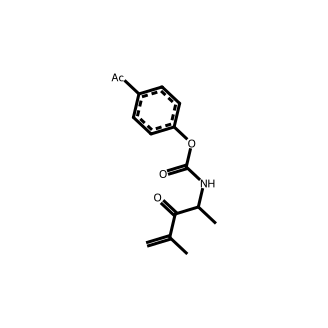 C=C(C)C(=O)C(C)NC(=O)Oc1ccc(C(C)=O)cc1